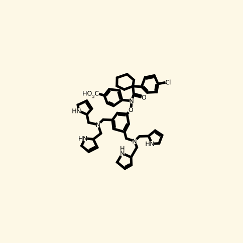 O=C(O)c1ccc(N(Oc2cc(CN(CC3C=CCN3)CC3C=CCN3)cc(CN(CC3C=CCN3)CC3C=CCN3)c2)C(=O)C2(c3ccc(Cl)cc3)CCCCC2)cc1